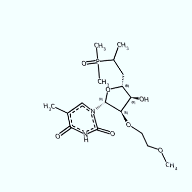 COCCO[C@@H]1[C@H](O)[C@@H](CC(C)P(C)(C)=O)O[C@H]1n1cc(C)c(=O)[nH]c1=O